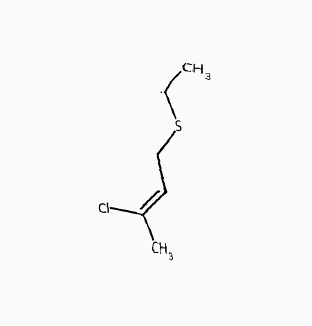 C[CH]SC/C=C(/C)Cl